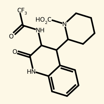 O=C1Nc2ccccc2C(C2CCCCN2C(=O)O)C1NC(=O)C(F)(F)F